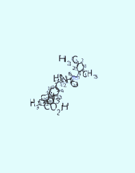 Cc1ccc(C)c(/C=C/C(=O)NCCc2ccc(OC(C)(C)C(=O)O)cc2)c1